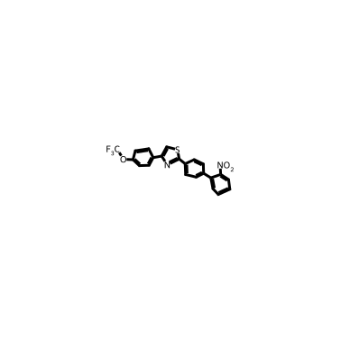 O=[N+]([O-])c1ccccc1-c1ccc(-c2nc(-c3ccc(OC(F)(F)F)cc3)cs2)cc1